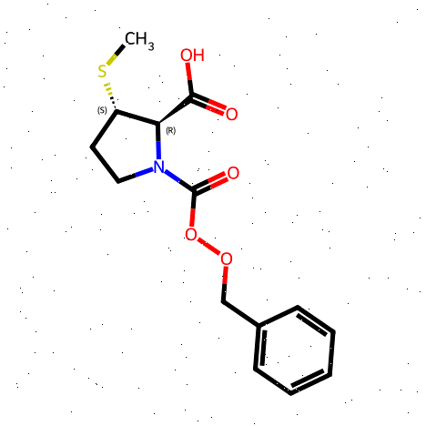 CS[C@H]1CCN(C(=O)OOCc2ccccc2)[C@@H]1C(=O)O